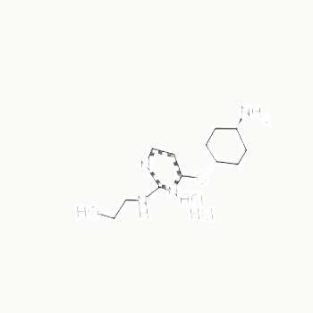 Cl.Cl.N[C@H]1CC[C@H](Oc2ccnc(NCCO)n2)CC1